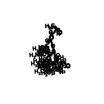 CC[C@H](C)[C@@H]([C@@H](CC(=O)N1CCC[C@H]1[C@H](OC)[C@@H](C)C(=O)N[C@@H](Cc1ccccc1)c1nccs1)OC)N(C)C(=O)[C@@H](NC(=O)[C@H](C(C)C)N(C)C(=O)OCc1ccc(NC(=O)[C@H](CCCNC(N)=O)NC(=O)[C@@H](NC(=O)CCC(=O)N(CCOCCOCCC(=O)OC(C)(C)C)C2CCN(C(=O)CCn3c(CNC)cc4cccnc43)CC2)C(C)C)cc1)C(C)C